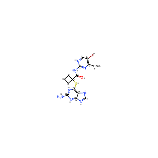 COc1nc(NC(=O)C2(Sc3nc(N)nc4nc[nH]c34)CCC2)ncc1Br